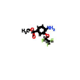 COC(=O)c1ccc(N)c(OC(F)C(F)F)c1